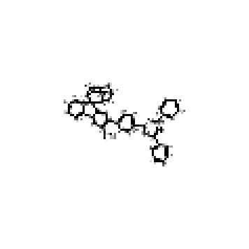 N#Cc1cc2c(cc1-c1ccc(-c3nc(-c4ccccc4)nc(-c4ccccc4)n3)cc1)C1(c3ccccc3-2)C2CC3CC(C2)CC1C3